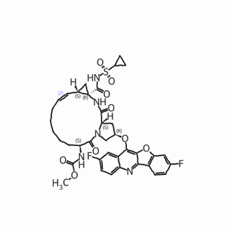 COC(=O)N[C@H]1CCCCC/C=C\[C@@H]2C[C@@]2(C(=O)NS(=O)(=O)C2CC2)NC(=O)[C@@H]2C[C@@H](Oc3c4cc(F)ccc4nc4c3oc3cc(F)ccc34)CN2C1=O